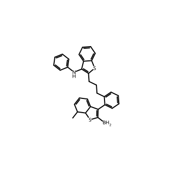 BC1=C(c2ccccc2CCCc2sc3ccccc3c2Nc2ccccc2)C2=CC=CC(C)C2S1